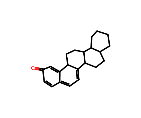 O=C1C=CC2=CC=C3C(CCC4C3CCC3CCCCC34)C2=C1